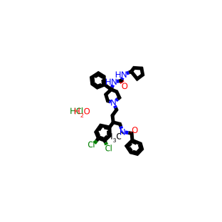 CN(CC(CCN1CCC(NC(=O)NC2CCCC2)(c2ccccc2)CC1)c1ccc(Cl)c(Cl)c1)C(=O)c1ccccc1.Cl.O